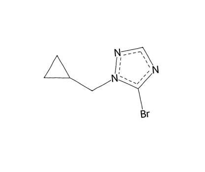 Brc1ncnn1CC1CC1